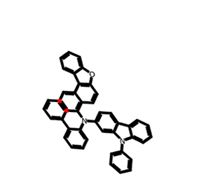 c1ccc(-c2ccccc2N(c2ccc3c4ccccc4n(-c4ccccc4)c3c2)c2cccc3c2ccc2oc4ccccc4c23)cc1